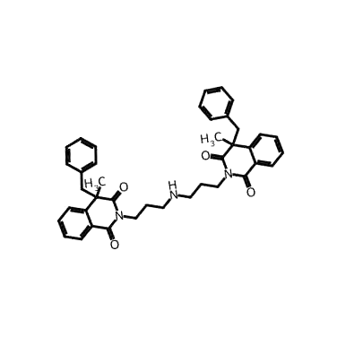 CC1(Cc2ccccc2)C(=O)N(CCCNCCCN2C(=O)c3ccccc3C(C)(Cc3ccccc3)C2=O)C(=O)c2ccccc21